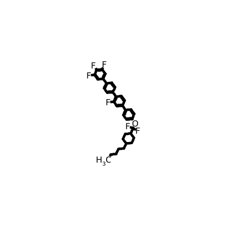 CCCCCC1CCC(C(F)(F)Oc2ccc(-c3ccc(-c4ccc(-c5cc(F)c(F)c(F)c5)cc4)c(F)c3)cc2)CC1